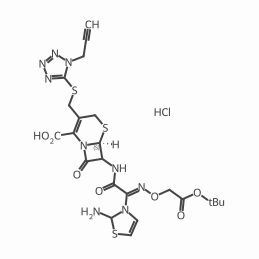 C#CCn1nnnc1SCC1=C(C(=O)O)N2C(=O)C(NC(=O)C(=NOCC(=O)OC(C)(C)C)N3C=CSC3N)[C@@H]2SC1.Cl